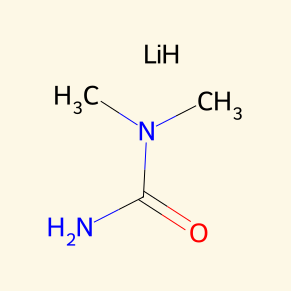 CN(C)C(N)=O.[LiH]